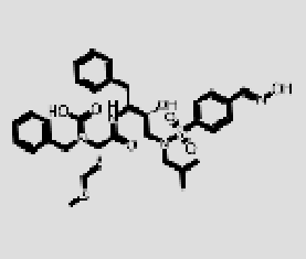 CSCC[C@@H](C(=O)N[C@@H](Cc1ccccc1)[C@H](O)CN(CC(C)C)S(=O)(=O)c1ccc(C=NO)cc1)N(Cc1ccccc1)C(=O)O